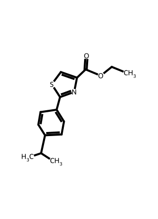 CCOC(=O)c1csc(-c2ccc(C(C)C)cc2)n1